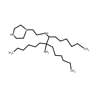 CCCCCCC(NCCN1CCNCC1)C(N)(CCCCCC)CCCCCC